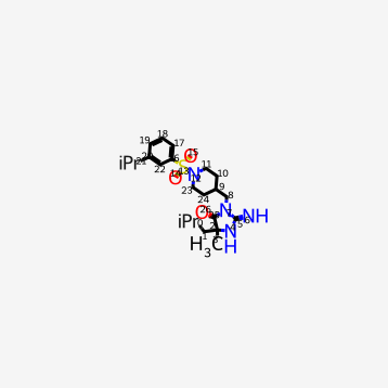 CC(C)CC1(C)NC(=N)N(CC2CCN(S(=O)(=O)c3cccc(C(C)C)c3)CC2)C1=O